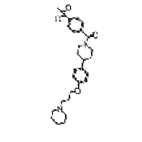 CS(=O)(=O)c1ccc(C(=O)N2CCC(c3ccc(OCCCN4CCCCC4)cc3)CC2)cc1